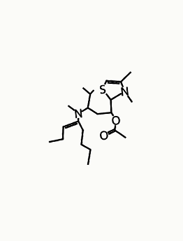 CC/C=C(\CCCC)N(C)C(CC(OC(C)=O)C1SC=C(C)N1C)C(C)C